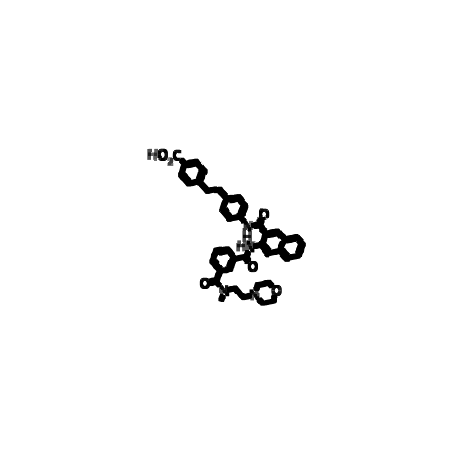 CN(CCN1CCOCC1)C(=O)c1cccc(C(=O)Nc2cc3ccccc3cc2C(=O)Nc2ccc(CCc3ccc(C(=O)O)cc3)cc2)c1